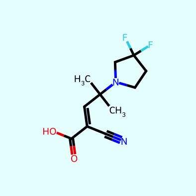 CC(C)(/C=C(\C#N)C(=O)O)N1CCC(F)(F)C1